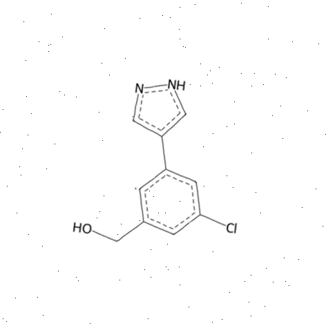 OCc1[c]c(-c2cn[nH]c2)cc(Cl)c1